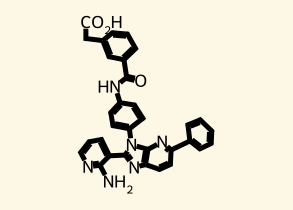 Nc1ncccc1-c1nc2ccc(-c3ccccc3)nc2n1-c1ccc(NC(=O)c2cccc(CC(=O)O)c2)cc1